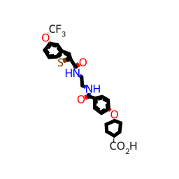 O=C(NCCNC(=O)c1cc2cc(OC(F)(F)F)ccc2s1)c1ccc(O[C@H]2CC[C@@H](C(=O)O)CC2)cc1